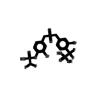 O=P(O)(Oc1ccc(CS(=O)(=O)Cc2ccc(C(F)(F)P(=O)(O)O)c(Br)c2)cc1Br)C(F)F